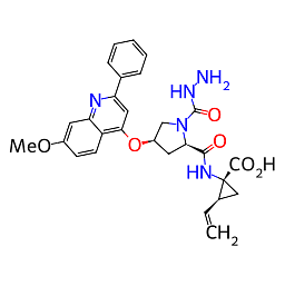 C=C[C@@H]1C[C@]1(NC(=O)[C@H]1C[C@@H](Oc2cc(-c3ccccc3)nc3cc(OC)ccc23)CN1C(=O)NN)C(=O)O